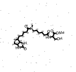 COC(=O)C(CO)NC(=O)CCCCCN(C)C(=O)CCCCC1SCC2NC(=O)NC21